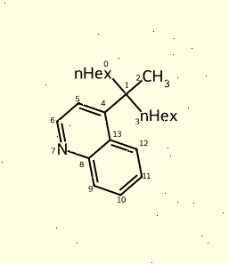 CCCCCCC(C)(CCCCCC)c1ccnc2ccccc12